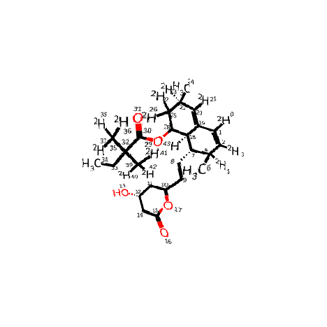 [2H]C1=C([2H])[C@]([2H])(C)[C@H](CCC2C[C@@H](O)CC(=O)O2)[C@@H]2C1=C([2H])[C@]([2H])(C)C([2H])([2H])C2OC(=O)C(CC)(C([2H])([2H])[2H])C([2H])([2H])[2H]